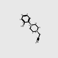 N#CCN1CCN(c2ccccc2F)CC1